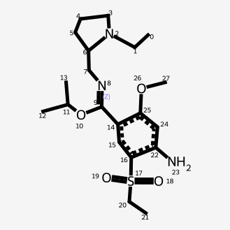 CCN1CCCC1C/N=C(\OC(C)C)c1cc(S(=O)(=O)CC)c(N)cc1OC